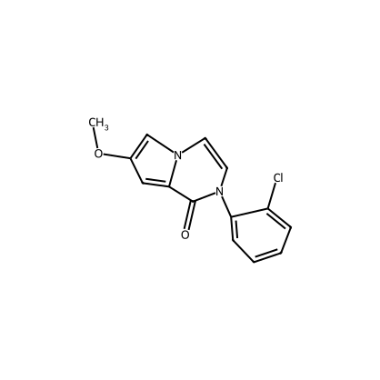 COc1cc2c(=O)n(-c3ccccc3Cl)ccn2c1